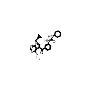 Nc1ncnc2c1c(C(=O)c1cccc(NC(=O)NC3CCCCC3)c1)cn2CC1CC1